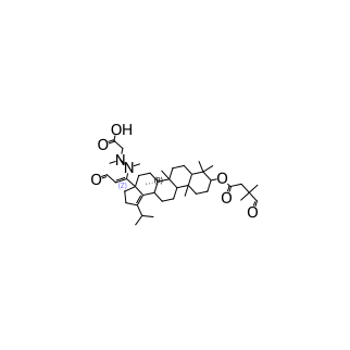 CC(C)C1=C2C3CCC4C5(C)CCC(OC(=O)CC(C)(C)C=O)C(C)(C)C5CCC4(C)[C@]3(C)CCC2(/C(=C/C=O)N(C)N(C)CC(=O)O)CC1